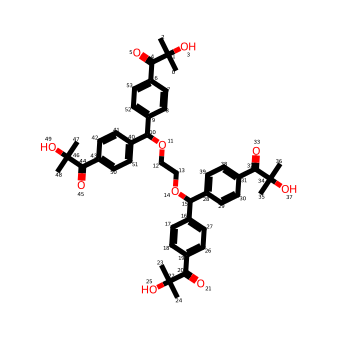 CC(C)(O)C(=O)c1ccc(C(OCCOC(c2ccc(C(=O)C(C)(C)O)cc2)c2ccc(C(=O)C(C)(C)O)cc2)c2ccc(C(=O)C(C)(C)O)cc2)cc1